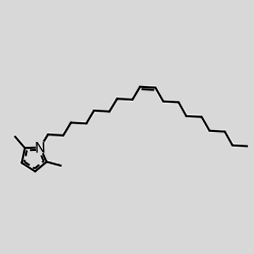 CCCCCCCC/C=C\CCCCCCCCn1c(C)ccc1C